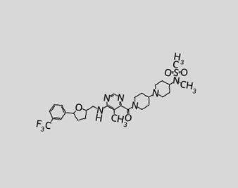 Cc1c(NCC2CCC(c3cccc(C(F)(F)F)c3)O2)ncnc1C(=O)N1CCC(N2CCC(N(C)S(C)(=O)=O)CC2)CC1